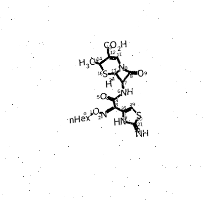 CCCCCCO/N=C(\C(=O)NC1C(=O)N2C=C(C(=O)O)C(C)S[C@H]12)c1csc(=N)[nH]1